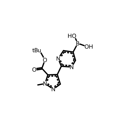 Cn1ncc(-c2ncc(B(O)O)cn2)c1C(=O)OC(C)(C)C